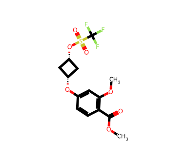 COC(=O)c1ccc(O[C@H]2C[C@@H](OS(=O)(=O)C(F)(F)F)C2)cc1OC